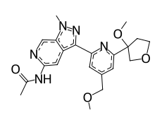 COCc1cc(-c2nn(C)c3cnc(NC(C)=O)cc23)nc(C2(OC)CCOC2)c1